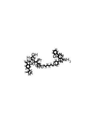 Cc1ncsc1-c1ccc(C(C)NC(=O)[C@@H]2C[C@@H](O)CN2C(=O)C(c2cc(OCCCCCCN3CCC(n4nc(N)c5nnc(-c6ccccc6O)cc54)CC3)no2)C(C)C)cc1